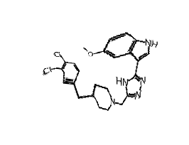 COc1ccc2[nH]cc(-c3nnc(CN4CCC(Cc5ccc(Cl)c(Cl)c5)CC4)[nH]3)c2c1